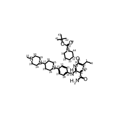 CCc1nc(C(N)=O)c(Nc2ccc(N3CCC(N4CCN(C)CC4)CC3)cc2)nc1O[C@@H]1CCCN(C(=O)OC(C)(C)C)C1